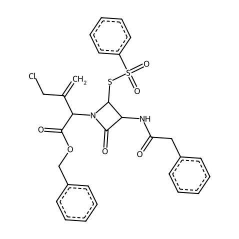 C=C(CCl)C(C(=O)OCc1ccccc1)N1C(=O)C(NC(=O)Cc2ccccc2)C1SS(=O)(=O)c1ccccc1